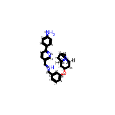 Nc1ccc(-c2ccc(CNCc3cccc(O[C@H]4C[C@H]5CC6CN5[C@@H]6C4)c3)cn2)cc1